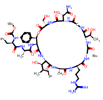 CC[C@H](C)[C@@H]1NC(=O)[C@@H](CCCNC(=N)N)NC(=O)[C@H](C)NC(=O)[C@H]([C@H](O)C(C)CC(C)C)NC(=O)[C@@H](NC(=O)[C@H](C)NC(=O)[C@@H](CC(C)C)NC(=O)OC(C)(C)C)[C@@H](c2ccccc2)OC(=O)[C@H](CO)NC(=O)[C@H]([C@H](O)C(N)=O)NC(=O)CNC(=O)[C@H]([C@H](C)O)NC1=O